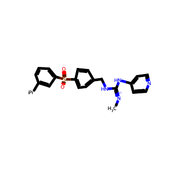 C/N=C(\NCc1ccc(S(=O)(=O)c2cccc(C(C)C)c2)cc1)Nc1ccncc1